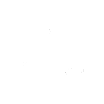 C=CCCCCCCCCCC(CCCCCCCCCC=C)C(=O)OCCOCC